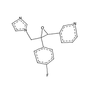 Fc1ccc(C2(Cn3ccnc3)OC2c2cccnc2)cc1